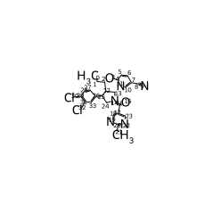 CCC(Oc1ccc(C#N)cn1)C1CN(C(=O)c2cnc(C)nc2)CC1c1ccc(Cl)c(Cl)c1